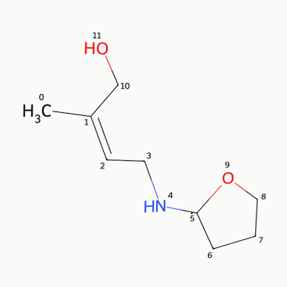 C/C(=C/CN[C]1CCCO1)CO